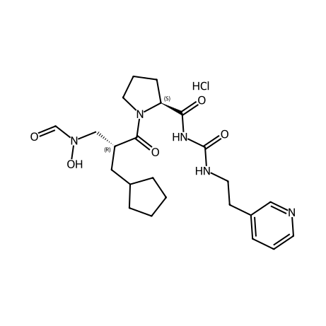 Cl.O=CN(O)C[C@@H](CC1CCCC1)C(=O)N1CCC[C@H]1C(=O)NC(=O)NCCc1cccnc1